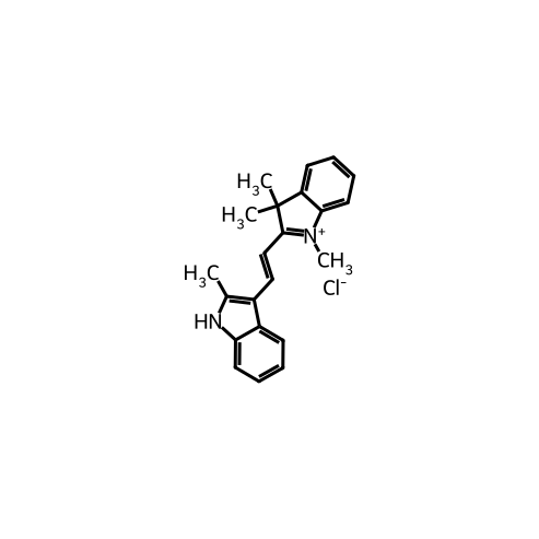 Cc1[nH]c2ccccc2c1C=CC1=[N+](C)c2ccccc2C1(C)C.[Cl-]